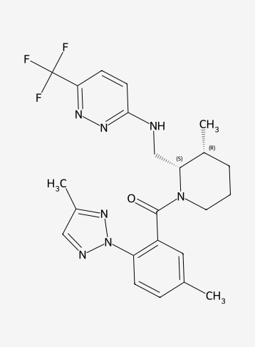 Cc1ccc(-n2ncc(C)n2)c(C(=O)N2CCC[C@@H](C)[C@H]2CNc2ccc(C(F)(F)F)nn2)c1